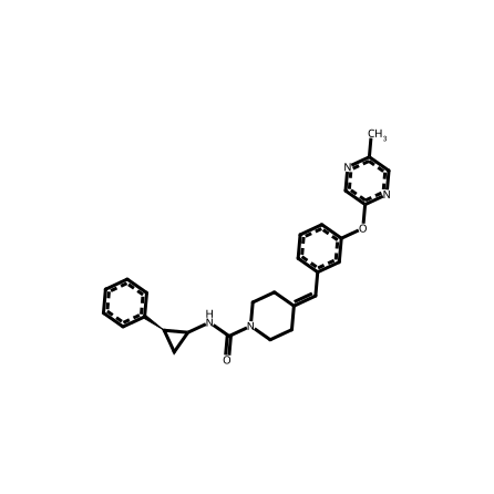 Cc1cnc(Oc2cccc(C=C3CCN(C(=O)NC4C[C@H]4c4ccccc4)CC3)c2)cn1